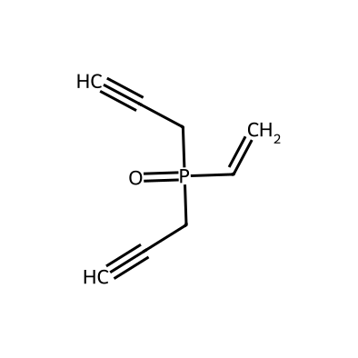 C#CCP(=O)(C=C)CC#C